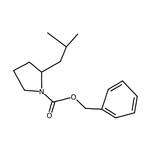 CC(C)CC1CCCN1C(=O)OCc1ccccc1